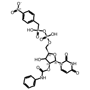 O=C(Nc1ccccc1)O[C@H]1C(O)[C@@H](COP(=O)(O)OP(=O)(O)Cc2ccc([N+](=O)[O-])cc2)O[C@H]1n1ccc(=O)[nH]c1=O